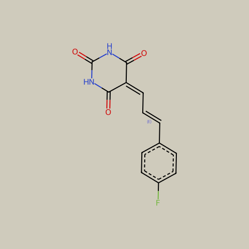 O=C1NC(=O)C(=C/C=C/c2ccc(F)cc2)C(=O)N1